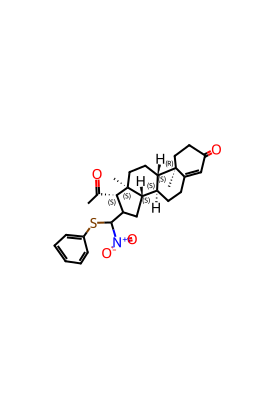 CC(=O)[C@H]1C(C(Sc2ccccc2)[N+](=O)[O-])C[C@H]2[C@@H]3CCC4=CC(=O)CC[C@]4(C)[C@H]3CC[C@]12C